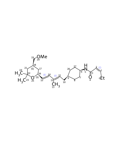 CC/C=C\C(=O)N[C@H]1CC[C@@H](C/C=C(C)/C=C/[C@@H]2C[C@H](COC)CC(C)(C)O2)CC1